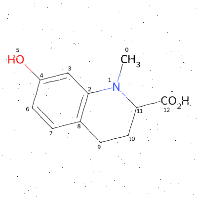 CN1c2cc(O)ccc2CCC1C(=O)O